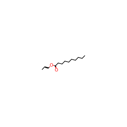 CC=COC(=O)CCCCCCCCC